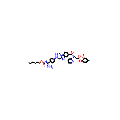 CCCCCCOC(=O)/N=C(\N)c1ccc(NCc2nc3cc(C(=O)N(CCC(=O)Oc4ccc(F)cc4OC)c4ccccn4)ccc3n2C)cc1